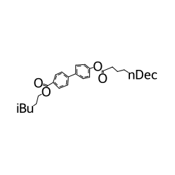 CCCCCCCCCCCCCC(=O)Oc1ccc(-c2ccc(C(=O)OCCC(C)CC)cc2)cc1